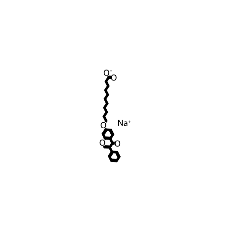 O=C([O-])CCCCCCCCCCOc1ccc2c(=O)c(-c3ccccc3)coc2c1.[Na+]